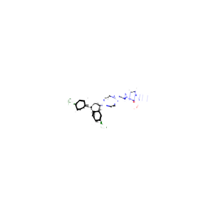 O=C1NCCN1CCN1CCN([C@H]2C[C@H](c3ccc(F)cc3)c3ccc(Cl)cc32)CC1